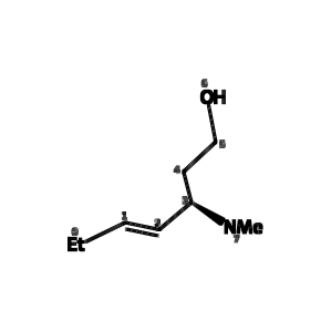 CC/C=C/[C@@H](CCO)NC